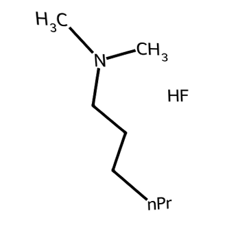 CCCCCCN(C)C.F